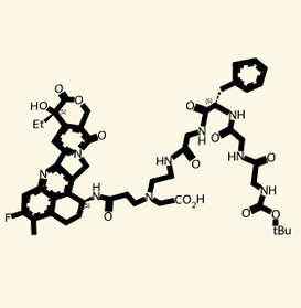 CC[C@@]1(O)C(=O)OCc2c1cc1n(c2=O)Cc2c-1nc1cc(F)c(C)c3c1c2[C@@H](NC(=O)CCN(CCNC(=O)CNC(=O)[C@H](Cc1ccccc1)NC(=O)CNC(=O)CNC(=O)OC(C)(C)C)CC(=O)O)CC3